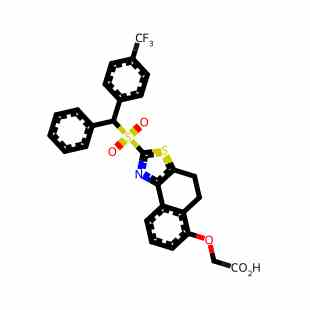 O=C(O)COc1cccc2c1CCc1sc(S(=O)(=O)C(c3ccccc3)c3ccc(C(F)(F)F)cc3)nc1-2